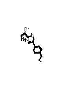 CCCc1ccc(-c2cnc3c(Br)cnn3c2)cc1